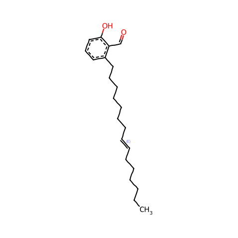 CCCCCC/C=C/CCCCCCCc1cccc(O)c1C=O